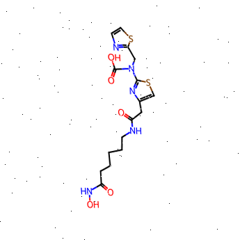 O=C(CCCCCNC(=O)Cc1csc(N(Cc2nccs2)C(=O)O)n1)NO